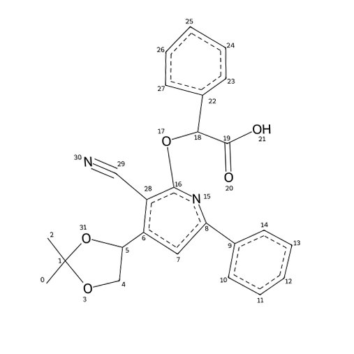 CC1(C)OCC(c2cc(-c3ccccc3)nc(OC(C(=O)O)c3ccccc3)c2C#N)O1